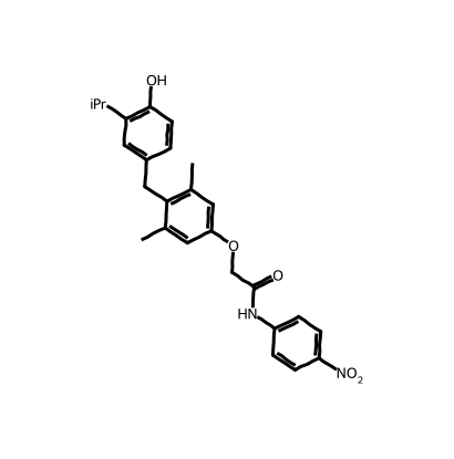 Cc1cc(OCC(=O)Nc2ccc([N+](=O)[O-])cc2)cc(C)c1Cc1ccc(O)c(C(C)C)c1